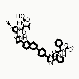 COC(=O)N[C@@H](C(=O)N1CCC[C@H]1c1ncc(-c2ccc(-c3ccc4cc(-c5cnc([C@@H]6C[C@H](C#N)CN6C(=O)[C@@H](NC(=O)O)C(C)C)[nH]5)ccc4c3)cc2)[nH]1)c1ccccc1